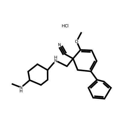 CNC1CCC(NCC2(C#N)CC(c3ccccc3)=CC=C2OC)CC1.Cl